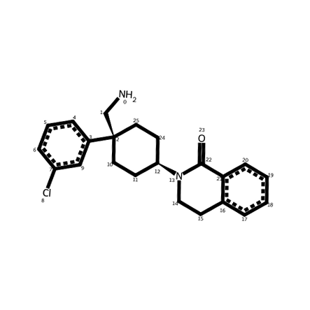 NC[C@]1(c2cccc(Cl)c2)CC[C@H](N2CCc3ccccc3C2=O)CC1